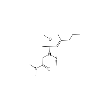 C=NN(CC(=O)N(C)C)C(C)(/C=C(\C)CCC)OC